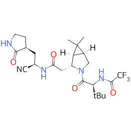 CC(C)(C)[C@H](NC(=O)C(F)(F)F)C(=O)N1C[C@H]2[C@@H]([C@H]1CC(=O)N[C@@H](C#N)C[C@@H]1CCNC1=O)C2(C)C